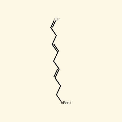 [CH]=CCC=CCC=CCCCCCCC